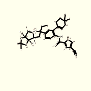 CC[C@@](O)(C[C@]1(C)O[C@@H](C)[C@H]2OC(C)(C)O[C@H]21)c1ccc(NC(=O)c2nc(C#N)c[nH]2)c(C2=CCC(C)(C)CC2)c1